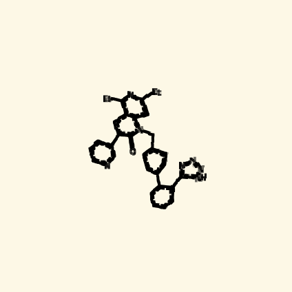 CCc1cc2c(cc(-c3cccnc3)c(=O)n2Cc2ccc(-c3ccccc3-c3nnn[nH]3)cc2)c(CC)n1